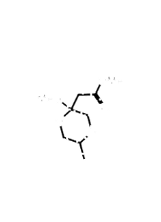 COC(=O)CC1(OC)COC(C)CO1